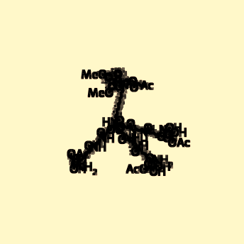 COc1ccc(C(OC[C@@H]2C[C@@H](OC(=O)CCC(C)=O)CN2C(=O)CCCCCCCCCCC(=O)NC(COCCC(=O)NCCCNC(=O)CCCCOC2OC(COC(C)=O)CC(O)C2N)(COCCC(=O)NCCCNC(=O)CCCCOC2OC(COC(C)=O)C(O)C(O)C2N)COCCC(=O)NCCCNC(=O)CCCCOC2OC(COC(C)=O)C(O)C(O)C2N)(c2ccccc2)c2ccc(OC)cc2)cc1